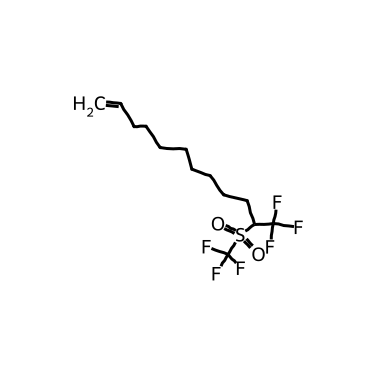 C=CCCCCCCCCC(C(F)(F)F)S(=O)(=O)C(F)(F)F